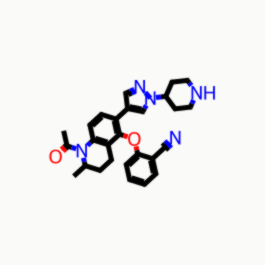 CC(=O)N1c2ccc(-c3cnn(C4CCNCC4)c3)c(Oc3ccccc3C#N)c2CCC1C